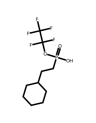 O=P(O)(CCC1CCCCC1)OC(F)(F)C(F)(F)F